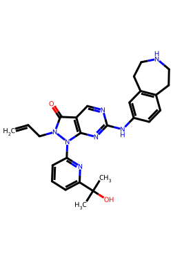 C=CCn1c(=O)c2cnc(Nc3ccc4c(c3)CCNCC4)nc2n1-c1cccc(C(C)(C)O)n1